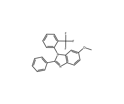 COc1ccc2nc(-c3ccccc3)n(-c3ccccc3C(F)(F)F)c2c1